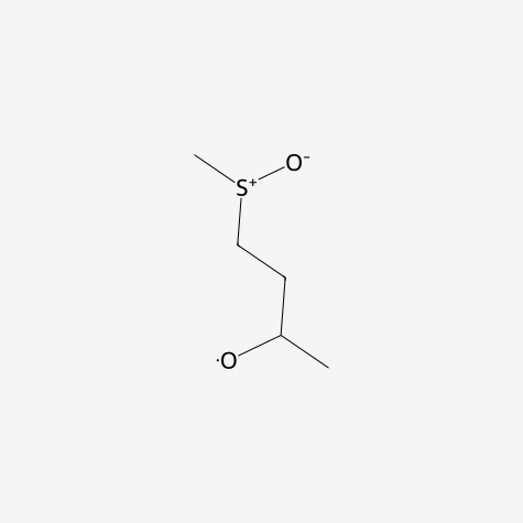 CC([O])CC[S+](C)[O-]